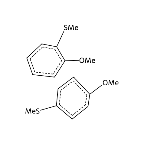 COc1ccc(SC)cc1.COc1ccccc1SC